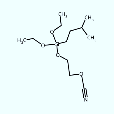 CCO[Si](CCC(C)C)(OCC)OCCOC#N